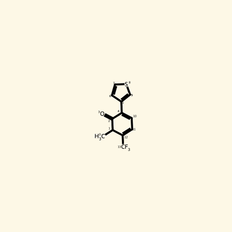 CC1C(=O)C(c2ccsc2)=CC=C1C(F)(F)F